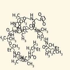 CCC(C)(C)CCC(=O)NCC(C)(C)COCC(C)(C)CC(=O)NCC(C)(CC)COCC(C)(C)CNC(=O)CC[C@H](NC(=O)CC(C)(C)COCCNC(=O)CCN1C(=O)C=CC1=O)C(=O)NCC(C)(CC)COCC(C)(C)CC(=O)NCC(C)(C)COCCNC(=O)C(C)(C)CCC(C)(C)CC